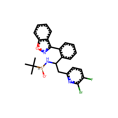 CC(C)(C)[S@+]([O-])NC(Cc1ccc(F)c(Br)n1)c1ccccc1-c1noc2ccccc12